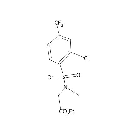 CCOC(=O)CN(C)S(=O)(=O)c1ccc(C(F)(F)F)cc1Cl